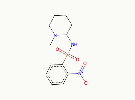 CN1CCCCC1NS(=O)(=O)c1ccccc1[N+](=O)[O-]